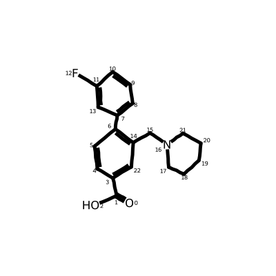 O=C(O)c1ccc(-c2cccc(F)c2)c(CN2CCCCC2)c1